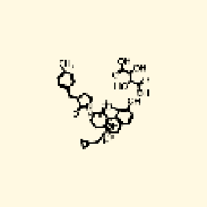 Cc1ccc(CC2CCN([C@H]3CCC4(O)[C@H]5Cc6ccc(O)c7c6[C@@]4(CCN5CC4CC4)[C@H]3O7)C2=O)cc1.O=C(O)C(O)C(O)C(=O)O